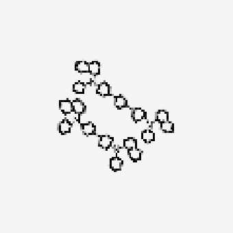 c1ccc(N(c2ccc(-c3ccc(-c4ccc(N(c5ccccc5)c5cccc6ccccc56)cc4)cc3)cc2)c2cccc3ccccc23)cc1.c1ccc(N(c2ccc(-c3ccc(N(c4ccccc4)c4cccc5ccccc45)cc3)cc2)c2cccc3ccccc23)cc1